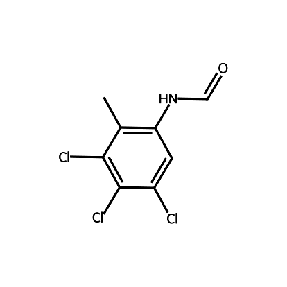 Cc1c(NC=O)cc(Cl)c(Cl)c1Cl